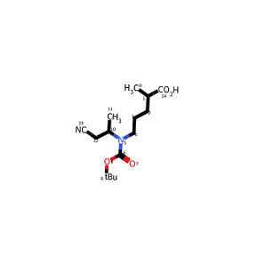 CC(CCCN(C(=O)OC(C)(C)C)C(C)CC#N)C(=O)O